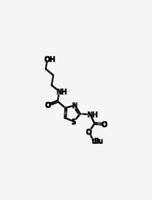 CC(C)(C)OC(=O)Nc1nc(C(=O)NCCCO)cs1